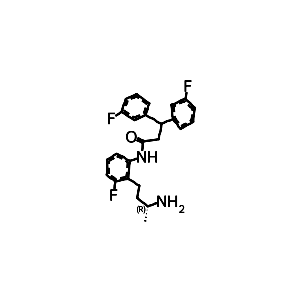 C[C@@H](N)CCc1c(F)cccc1NC(=O)CC(c1cccc(F)c1)c1cccc(F)c1